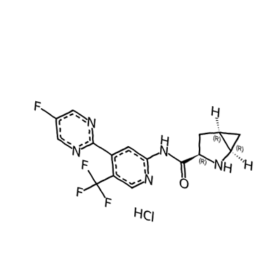 Cl.O=C(Nc1cc(-c2ncc(F)cn2)c(C(F)(F)F)cn1)[C@H]1C[C@H]2C[C@H]2N1